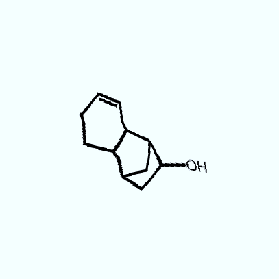 OC1CC2CC1C1C=CCCC21